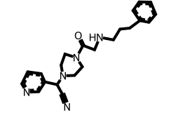 N#CC(c1cccnc1)N1CCN(C(=O)CNCCCc2ccccc2)CC1